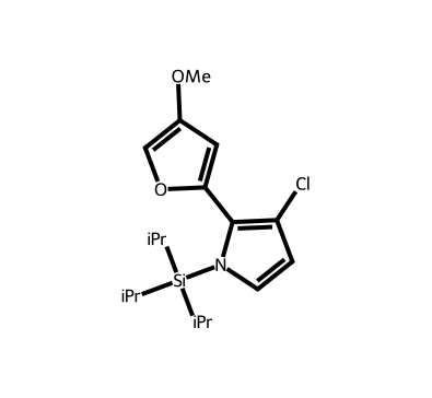 COc1coc(-c2c(Cl)ccn2[Si](C(C)C)(C(C)C)C(C)C)c1